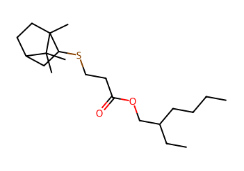 CCCCC(CC)COC(=O)CCSC1CC2CCC1(C)C2(C)C